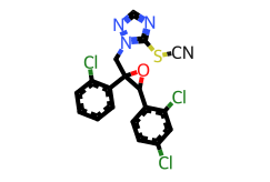 N#CSc1ncnn1CC1(c2ccccc2Cl)OC1c1ccc(Cl)cc1Cl